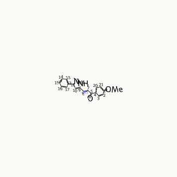 COc1ccc(C(=O)/C=C/c2cc(-c3ccccc3)n[nH]2)cc1